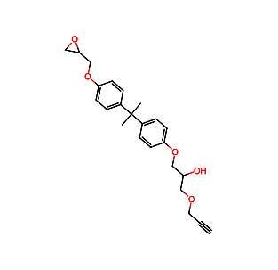 C#CCOCC(O)COc1ccc(C(C)(C)c2ccc(OCC3CO3)cc2)cc1